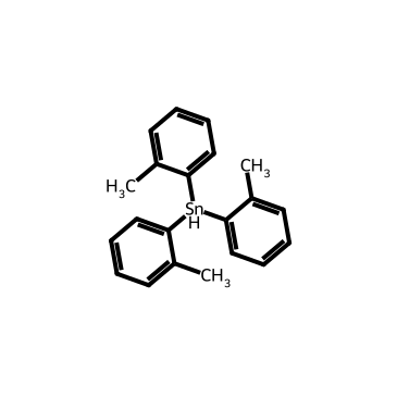 Cc1cccc[c]1[SnH]([c]1ccccc1C)[c]1ccccc1C